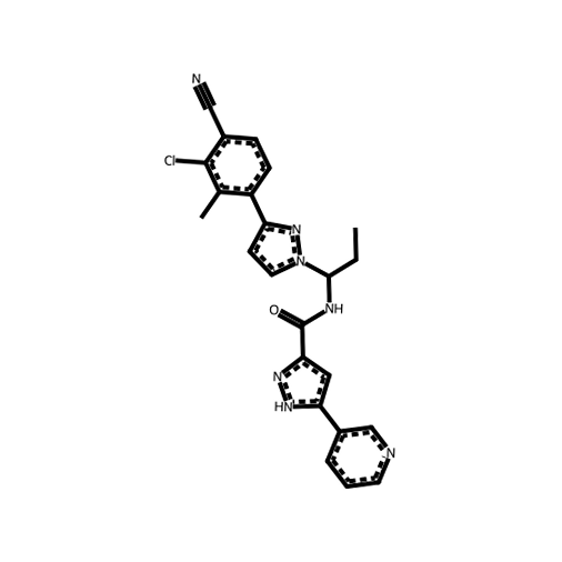 CCC(NC(=O)c1cc(-c2cccnc2)[nH]n1)n1ccc(-c2ccc(C#N)c(Cl)c2C)n1